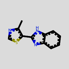 Cc1ncsc1-c1nc2ccccc2[nH]1